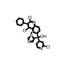 Cn1cncc1C(O)(c1ccnc(Cl)c1)c1ccc2nc(Cl)c(-c3ccccc3)c(Cl)c2c1